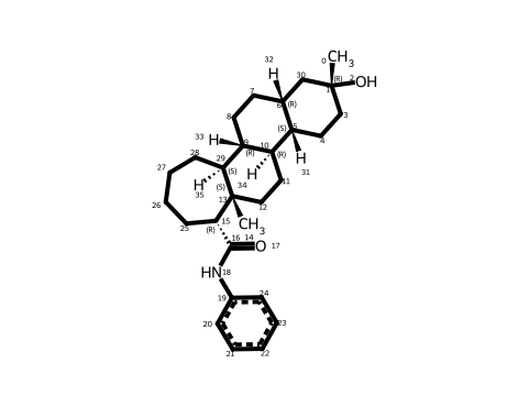 C[C@@]1(O)CC[C@H]2[C@H](CC[C@@H]3[C@@H]2CC[C@]2(C)[C@H](C(=O)Nc4ccccc4)CCCC[C@@H]32)C1